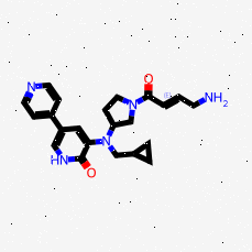 NC/C=C/C(=O)N1CCC(N(CC2CC2)c2cc(-c3ccncc3)c[nH]c2=O)C1